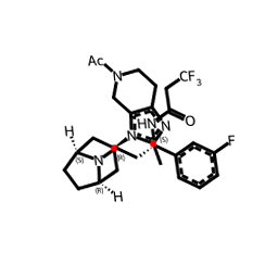 CC(=O)N1CCc2nc(C)n([C@H]3C[C@H]4CC[C@@H](C3)N4CC[C@H](NC(=O)CC(F)(F)F)c3cccc(F)c3)c2C1